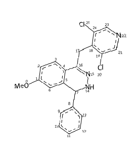 COc1ccc2c(c1)C(c1ccccc1)NN=C2Cc1c(Cl)cncc1Cl